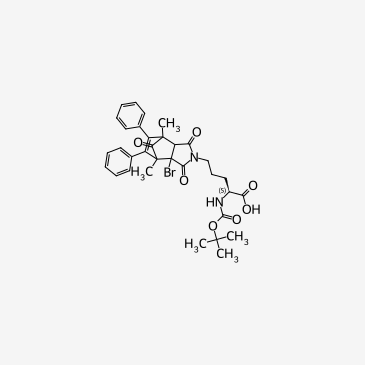 CC(C)(C)OC(=O)N[C@@H](CCCN1C(=O)C2C3(C)C(=O)C(C)(C(c4ccccc4)=C3c3ccccc3)C2(Br)C1=O)C(=O)O